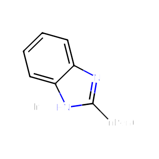 CCCCCc1nc2ccccc2[nH]1.[Ir]